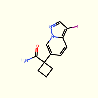 NC(=O)C1(c2ccc3c(I)cnn3c2)CCC1